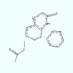 COC(C)=O.O=c1cnc2ccccc2[nH]1.c1ccncc1